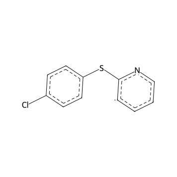 Clc1ccc(Sc2[c]cccn2)cc1